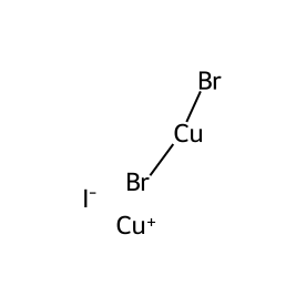 [Br][Cu][Br].[Cu+].[I-]